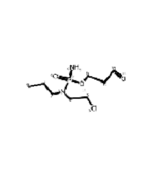 CCCN(CCCl)P(N)(=O)OCCC=O